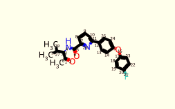 CC(=O)[C@@H](NC(=O)c1cccc(-c2ccc(Oc3ccc(F)cc3)cc2)n1)C(C)C